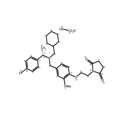 COc1cc(CN(CC2CCCCC2)[C@@H](C)c2ccc(Cl)cc2)ccc1SCCN1C(=O)CCC1=O.O=C(O)O